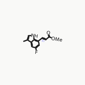 COC(=O)/C=C/c1cc(F)cc2c(C)c[nH]c12